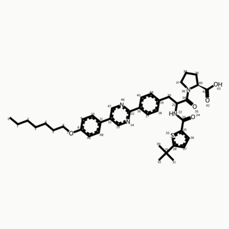 CCCCCCCOc1ccc(-c2cnc(-c3ccc(CC(NC(=O)c4ccc(C(C)(C)C)s4)C(=O)N4CCC[C@H]4C(=O)O)cc3)nc2)cc1